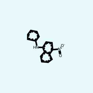 O=[N+]([O-])c1ccc(Nc2ccccc2)c2ccccc12